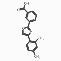 Cc1ccc(-c2csc(-c3cccc(C(=O)O)c3)n2)c(C)c1